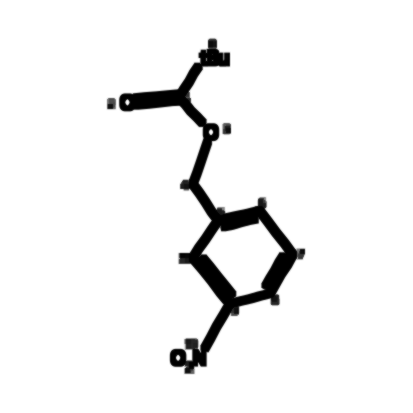 CC(C)(C)C(=O)OCc1cccc([N+](=O)[O-])c1